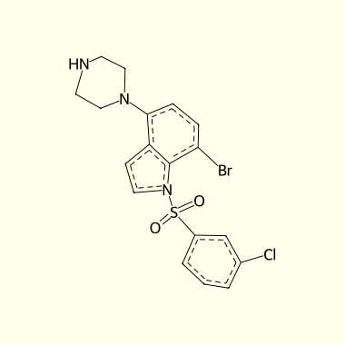 O=S(=O)(c1cccc(Cl)c1)n1ccc2c(N3CCNCC3)ccc(Br)c21